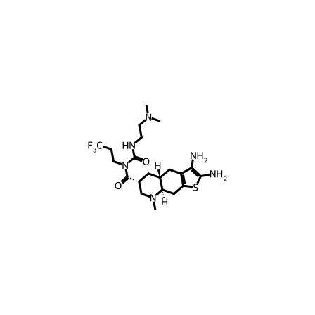 CN(C)CCNC(=O)N(CCC(F)(F)F)C(=O)[C@@H]1C[C@@H]2Cc3c(sc(N)c3N)C[C@H]2N(C)C1